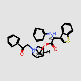 O=C(C[N+]12CCC(CC1)[C@@H](OC(=O)[C@@H](Nc1ccccc1)c1csc3ccccc13)C2)c1ccccc1